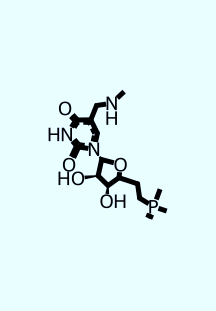 C=P(C)(C)CCC1O[C@@H](n2cc(CNC)c(=O)[nH]c2=O)[C@H](O)[C@@H]1O